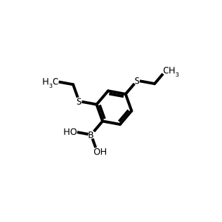 CCSc1ccc(B(O)O)c(SCC)c1